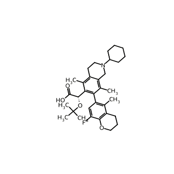 Cc1c(-c2c(C)c3c(c(C)c2[C@H](OC(C)(C)C)C(=O)O)CCN(C2CCCCC2)C3)cc(F)c2c1CCCO2